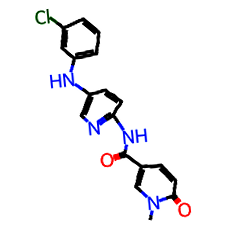 Cn1cc(C(=O)Nc2ccc(Nc3cccc(Cl)c3)cn2)ccc1=O